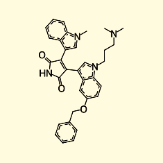 CN(C)CCCn1cc(C2=C(c3cn(C)c4ccccc34)C(=O)NC2=O)c2cc(OCc3ccccc3)ccc21